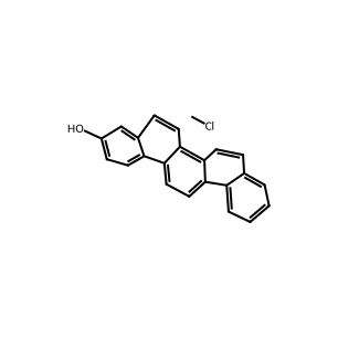 CCl.Oc1ccc2c(ccc3c2ccc2c4ccccc4ccc23)c1